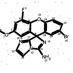 COc1cc(F)c2c(c1)C1(N=C(N)n3ccnc31)c1cc(Br)ccc1O2